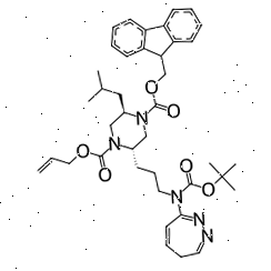 C=CCOC(=O)N1C[C@@H](CC(C)C)N(C(=O)OCC2c3ccccc3-c3ccccc32)C[C@@H]1CCCN(C(=O)OC(C)(C)C)C1=NN=CCC=C1